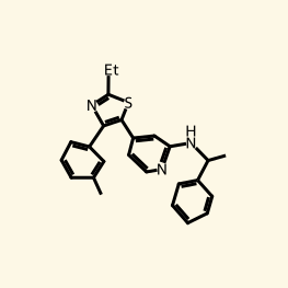 CCc1nc(-c2cccc(C)c2)c(-c2ccnc(NC(C)c3ccccc3)c2)s1